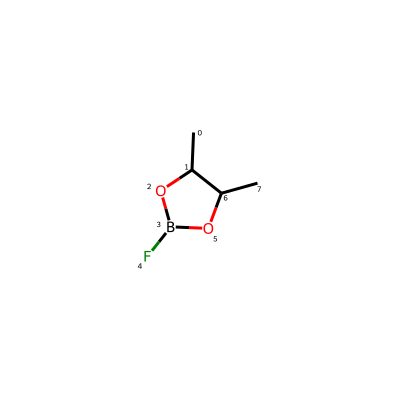 CC1OB(F)OC1C